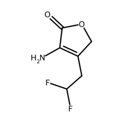 NC1=C(CC(F)F)COC1=O